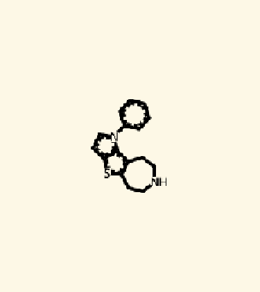 c1ccc(-n2ccc3sc4c(c32)CCNCC4)cc1